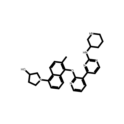 Cc1ccc2c(N3CCC(O)C3)cccc2c1Oc1ncccc1-c1ccnc(NC2CCCNC2)n1